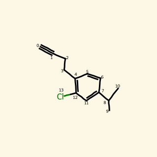 C#CCCc1ccc(C(C)C)cc1Cl